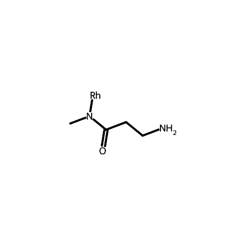 C[N]([Rh])C(=O)CCN